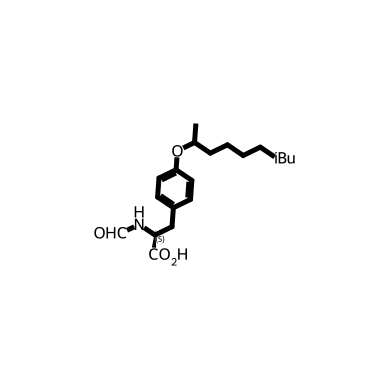 CCC(C)CCCCC(C)Oc1ccc(C[C@H](NC=O)C(=O)O)cc1